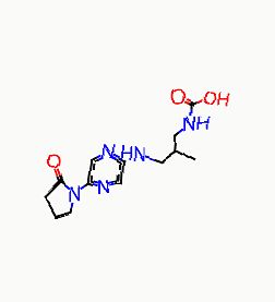 CC(CNC(=O)O)CNc1cnc(N2CCCC2=O)cn1